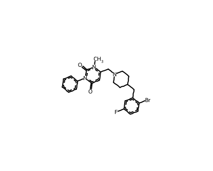 Cn1c(CN2CCC(Cc3cc(F)ccc3Br)CC2)cc(=O)n(-c2ccccc2)c1=O